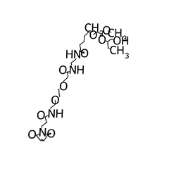 C=C(CCCC(=O)NCCNC(=O)CCOCCOCCNC(=O)CCN1C(=O)C=CC1=O)OCC(OC)OC(CC)CO